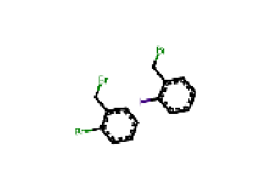 BrCc1ccccc1Br.BrCc1ccccc1I